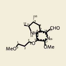 COCCCOc1cc(C[C@@H](C)[C@H](C)N)c(C=O)nc1OC